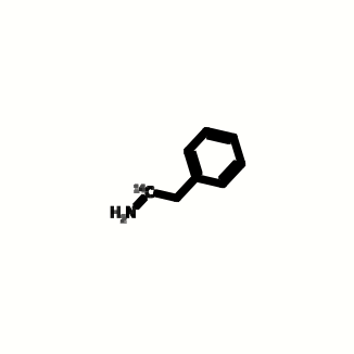 N[14CH2]Cc1ccccc1